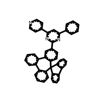 c1ccc(-c2cc(-c3ccncc3)nc(-c3ccc4c(c3)-c3ccccc3-c3ccccc3C43c4ccccc4-c4ccccc43)n2)cc1